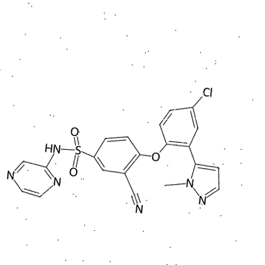 Cn1nccc1-c1cc(Cl)ccc1Oc1ccc(S(=O)(=O)Nc2cnccn2)cc1C#N